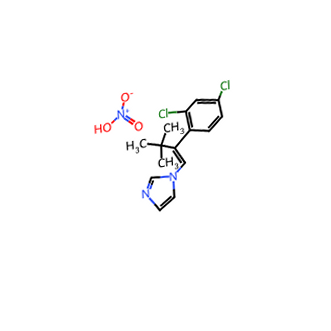 CC(C)(C)C(=Cn1ccnc1)c1ccc(Cl)cc1Cl.O=[N+]([O-])O